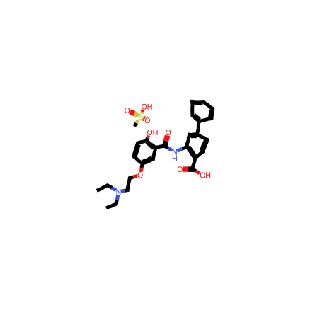 CCN(CC)CCOc1ccc(O)c(C(=O)Nc2cc(-c3ccccc3)ccc2C(=O)O)c1.CS(=O)(=O)O